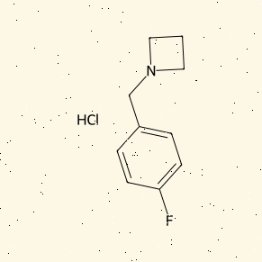 Cl.Fc1ccc(CN2CCC2)cc1